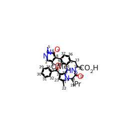 COc1cnn(C)c(=O)c1-c1ccc(CC(NC(=O)C(C(C)C)n2c(C)cc(C(=O)c3ccccc3)c2C)C(=O)O)cc1